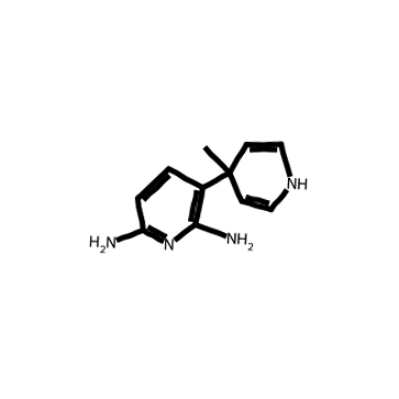 CC1(c2ccc(N)nc2N)C=CNC=C1